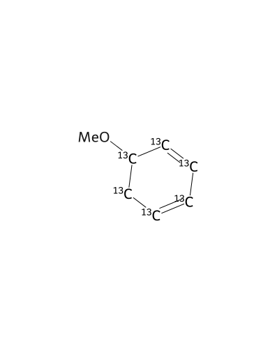 CO[13CH]1[13CH]=[13CH][13CH]=[13CH][13CH2]1